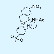 CC(=O)N[C@@H]1c2cc([N+](=O)[O-])ccc2CC[C@@]1(c1ccc(S(C)(=O)=O)cc1)[N+]1(C)CCCC1